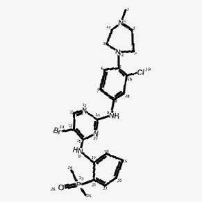 CN1CCN(c2ccc(Nc3ncc(Br)c(Nc4ccccc4P(C)(C)=O)n3)cc2Cl)CC1